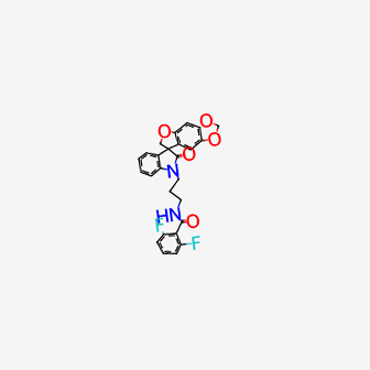 O=C(NCCCN1C(=O)C2(COc3cc4c(cc32)OCO4)c2ccccc21)c1c(F)cccc1F